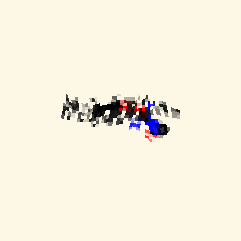 COc1cc(C2NC(=O)c3ccccc3N2)ccc1OCCCOc1c(OC)cc(C=Cc2cc(OC)c(OC)c(OC)c2)cc1OC